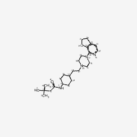 CC(C)(O)CC(=O)NC1CCC(CCN2CCN(c3nccc4c3OCC4)CC2)CC1